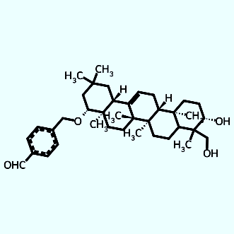 CC1(C)C[C@@H]2C3=CC[C@@H]4[C@@]5(C)CC[C@H](O)C(C)(CO)C5CC[C@@]4(C)[C@]3(C)CC[C@@]2(C)[C@H](OCc2ccc(C=O)cc2)C1